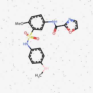 CBc1ccc(NS(=O)(=O)c2cc(NC(=O)c3ncco3)ccc2OC)cc1